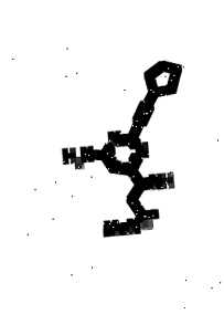 CN[C@H](C)CC(=N)c1cc(N)nc(C#CC2CCCC2)n1